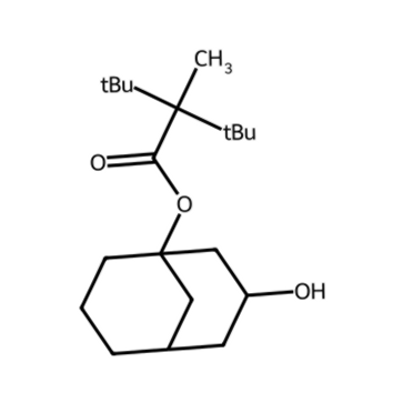 CC(C)(C)C(C)(C(=O)OC12CCCC(CC(O)C1)C2)C(C)(C)C